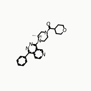 C[C@@H]1CN(C(=O)C2CCOCC2)CCN1c1nnc(-c2ccccc2)c2ccncc12